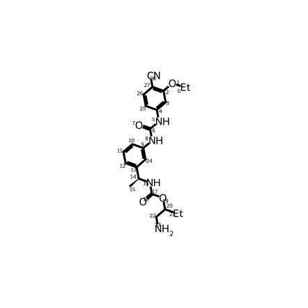 CCOc1cc(NC(=O)Nc2cccc([C@H](C)NC(=O)OC(CC)CN)c2)ccc1C#N